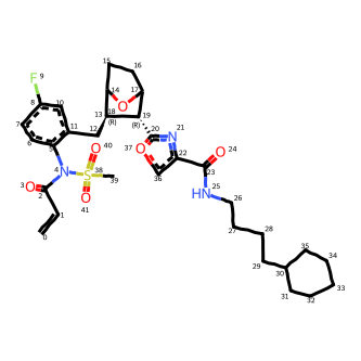 C=CC(=O)N(c1ccc(F)cc1C[C@H]1C2CCC(O2)[C@@H]1c1nc(C(=O)NCCCCC2CCCCC2)co1)S(C)(=O)=O